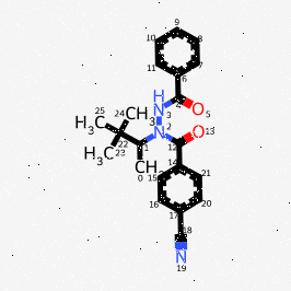 CC(N(NC(=O)c1ccccc1)C(=O)c1ccc(C#N)cc1)C(C)(C)C